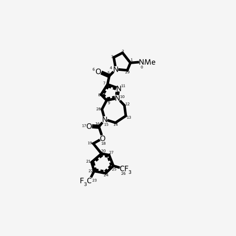 CNC1CCN(C(=O)c2cc3n(n2)CCCN(C(=O)OCc2cc(C(F)(F)F)cc(C(F)(F)F)c2)C3)C1